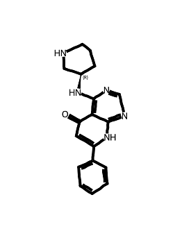 O=c1cc(-c2ccccc2)[nH]c2ncnc(N[C@@H]3CCCNC3)c12